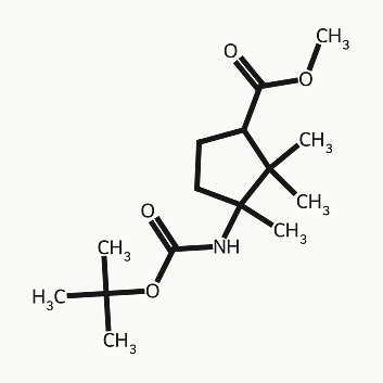 COC(=O)C1CCC(C)(NC(=O)OC(C)(C)C)C1(C)C